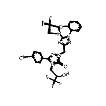 O=c1n(Cc2nc(N3CC(F)(F)C3)n(-c3ccccc3Cl)n2)nc(-c2ccc(Cl)cc2)n1CC(O)C(F)(F)F